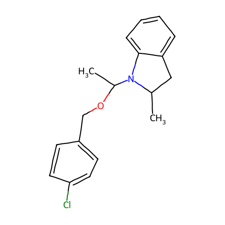 CC1Cc2ccccc2N1C(C)OCc1ccc(Cl)cc1